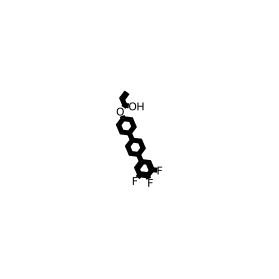 C=CC(O)OC1CCC(C2CCC(c3cc(F)c(F)c(F)c3)CC2)CC1